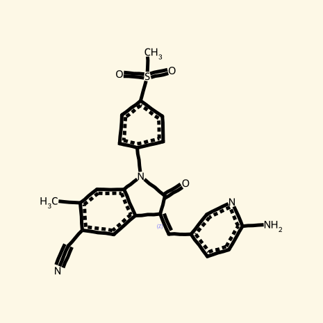 Cc1cc2c(cc1C#N)/C(=C/c1ccc(N)nc1)C(=O)N2c1ccc(S(C)(=O)=O)cc1